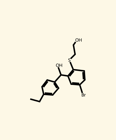 CCc1ccc(C(O)c2cc(Br)ccc2SCCO)cc1